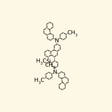 Cc1ccc(N(c2ccc3c(c2)[Si](C)(C)c2cccc4c2c-3cc2ccc(N(c3ccc(C)cc3)c3ccc5ccc6ccccc6c5c3)cc24)c2ccc3ccc4ccccc4c3c2)cc1